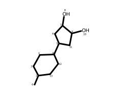 CC1CCC(C2CC(O)C(O)C2)CC1